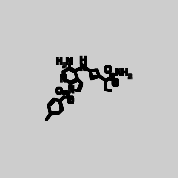 CCC(C12CC(Nc3c(N)cnc4c3ccn4S(=O)(=O)c3ccc(C)cc3)(C1)C2)S(N)(=O)=O